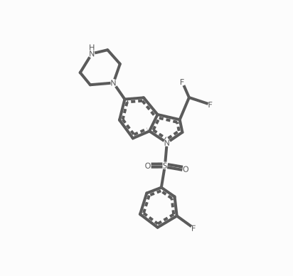 O=S(=O)(c1cccc(F)c1)n1cc(C(F)F)c2cc(N3CCNCC3)ccc21